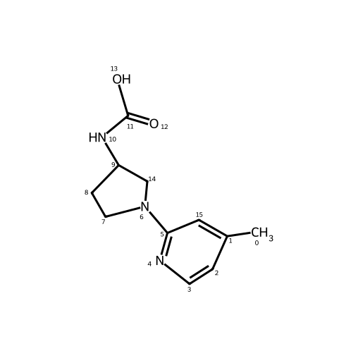 Cc1ccnc(N2CCC(NC(=O)O)C2)c1